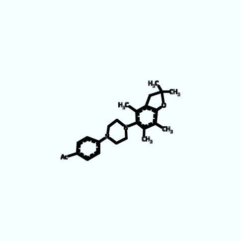 CC(=O)c1ccc(N2CCN(c3c(C)c(C)c4c(c3C)CC(C)(C)O4)CC2)cc1